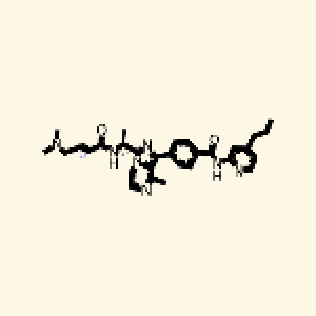 CCCc1ccnc(NC(=O)c2ccc(-c3nc([C@H](C)NC(=O)/C=C/CN(C)C)n4ccnc(C)c34)cc2)c1